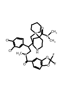 CN(C)C(=O)C1([N+]2(CCC(CN(C)C(=O)c3ccc4c(c3)OC(F)(F)O4)c3ccc(Cl)c(Cl)c3)CCCCC2)CCNCC1